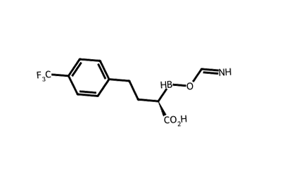 N=COB[C@H](CCc1ccc(C(F)(F)F)cc1)C(=O)O